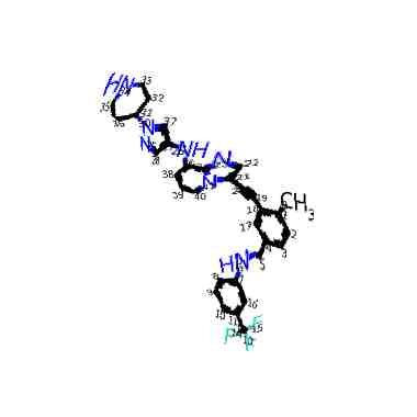 Cc1ccc(CNc2cccc(C(F)(F)F)c2)cc1C#Cc1cnc2c(Nc3cnn(C4CCNCC4)c3)cccn12